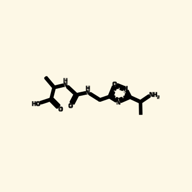 CC(NC(=O)NCc1nc(C(C)N)no1)C(=O)O